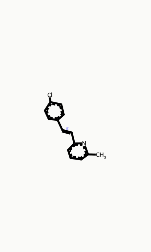 Cc1cccc(/C=C/c2ccc(Cl)cc2)n1